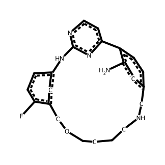 Nc1cc2ccc1-c1ccnc(n1)Nc1ccc(F)c(c1)COCCCCNC2